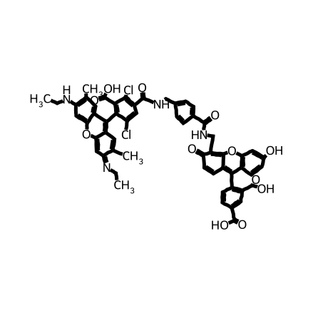 CC/N=c1/cc2oc3cc(NCC)c(C)cc3c(-c3c(Cl)cc(C(=O)NCc4ccc(C(=O)NCc5c6oc7cc(O)ccc7c(-c7ccc(C(=O)O)cc7C(=O)O)c-6ccc5=O)cc4)c(Cl)c3C(=O)O)c-2cc1C